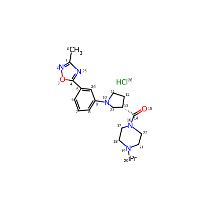 Cc1noc(-c2cccc(N3CC[C@H](C(=O)N4CCN(C(C)C)CC4)C3)c2)n1.Cl